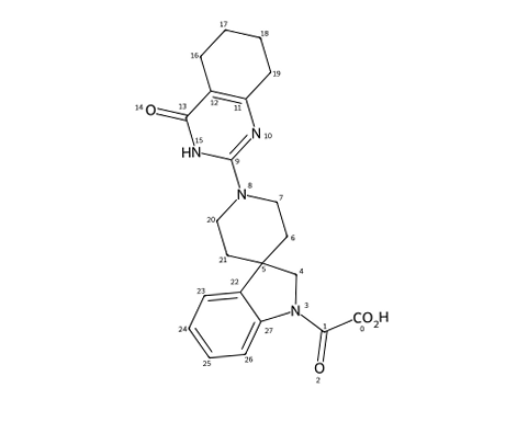 O=C(O)C(=O)N1CC2(CCN(c3nc4c(c(=O)[nH]3)CCCC4)CC2)c2ccccc21